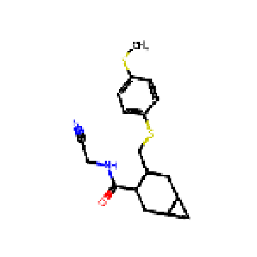 CSc1ccc(SCC2CC3CC3CC2C(=O)NCC#N)cc1